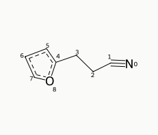 N#CCCc1ccco1